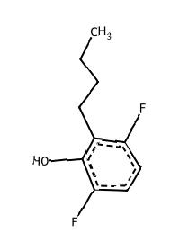 CCCCc1c(F)ccc(F)c1O